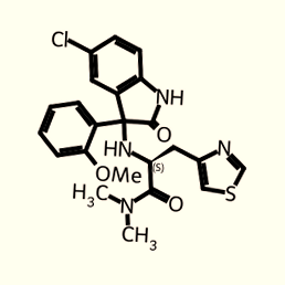 COc1ccccc1C1(N[C@@H](Cc2cscn2)C(=O)N(C)C)C(=O)Nc2ccc(Cl)cc21